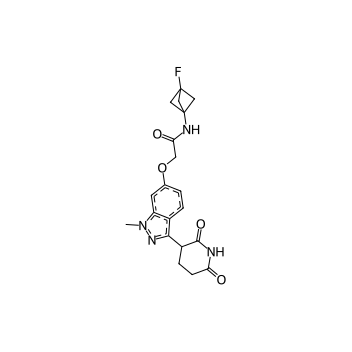 Cn1nc(C2CCC(=O)NC2=O)c2ccc(OCC(=O)NC34CC(F)(C3)C4)cc21